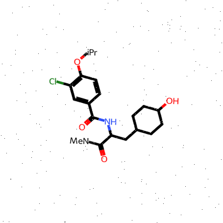 CNC(=O)C(CC1CCC(O)CC1)NC(=O)c1ccc(OC(C)C)c(Cl)c1